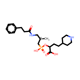 C[C@H](CNC(=O)CCc1ccccc1)CP(=O)(O)OC(CCC1CCNCC1)C(=O)O